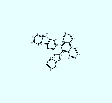 c1ccc2c(c1)cc1c3c4ccccc4c4ccccc4c3c3cc4oc5ccccc5c4cc3n21